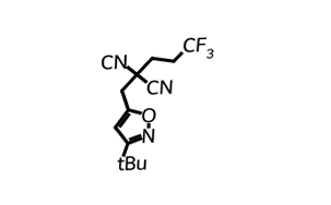 [C-]#[N+]C(C#N)(CCC(F)(F)F)Cc1cc(C(C)(C)C)no1